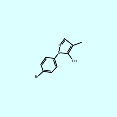 Cc1cnn(-c2ccc(Br)cc2)c1O